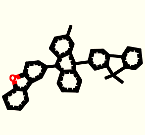 Cc1ccc2c(-c3ccc4oc5ccccc5c4c3)c3ccccc3c(-c3ccc4c(c3)C(C)(C)c3ccccc3-4)c2c1